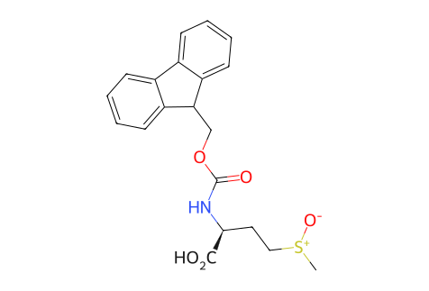 C[S+]([O-])CC[C@H](NC(=O)OCC1c2ccccc2-c2ccccc21)C(=O)O